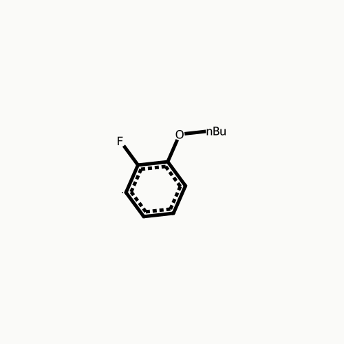 CCCCOc1ccc[c]c1F